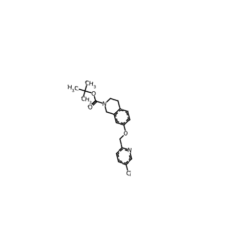 CC(C)(C)OC(=O)N1CCc2ccc(OCc3ccc(Cl)cn3)cc2C1